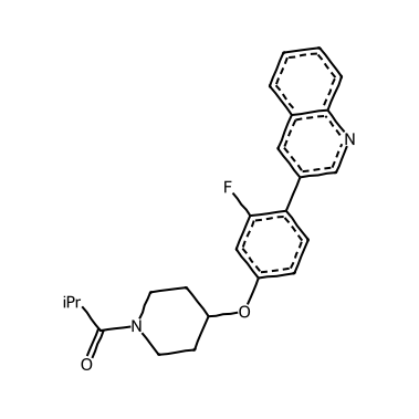 CC(C)C(=O)N1CCC(Oc2ccc(-c3cnc4ccccc4c3)c(F)c2)CC1